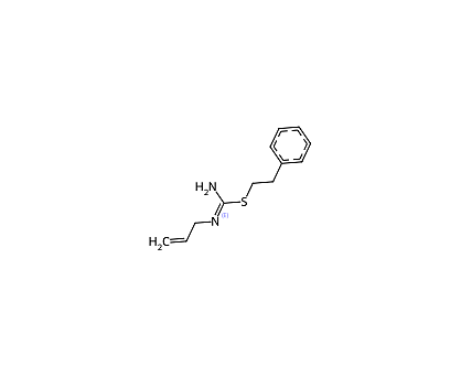 C=CC/N=C(\N)SCCc1ccccc1